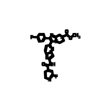 COC(=O)N1CCn2c(nc(-c3ccc(F)cc3)c2-c2ccc3nc(NC(=O)c4ccnc(F)c4)cn3n2)C1